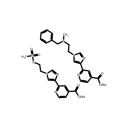 COC(=O)c1ccnc(-c2cn(CCN(C)Cc3ccccc3)cn2)c1.COC(=O)c1ccnc(-c2cn(CCOS(C)(=O)=O)cn2)c1